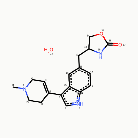 CN1CC=C(c2c[nH]c3ccc(CC4COC(=O)N4)cc23)CC1.O